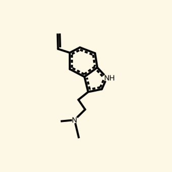 C=Cc1ccc2[nH]cc(CCN(C)C)c2c1